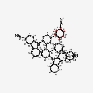 N#Cc1cccc(-c2ccc(-n3c4ccccc4c4cc(C#N)ccc43)c(-c3cccc(-n4c5ccccc5c5cc(C#N)ccc54)c3-c3nc(-c4ccccc4)nc(-c4ccccc4)n3)c2)c1